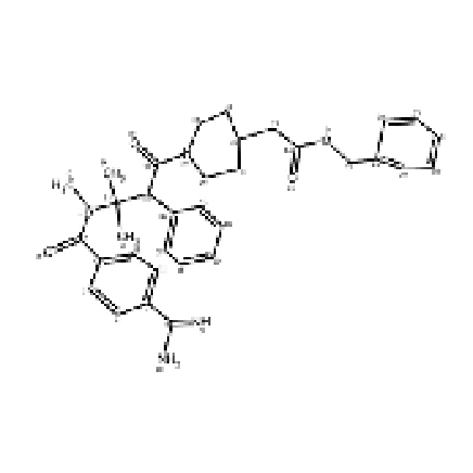 CN(C(=O)c1ccc(C(=N)N)cc1)C(C)(C)C(C(=O)N1CCC(CC(=O)OCc2ccccc2)CC1)c1ccccc1